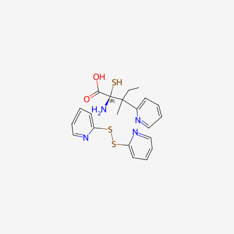 CCC(C)(c1ccccn1)[C@@](N)(S)C(=O)O.c1ccc(SSc2ccccn2)nc1